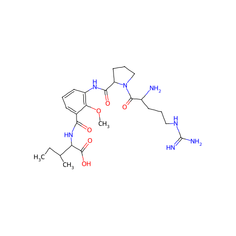 CCC(C)C(NC(=O)c1cccc(NC(=O)C2CCCN2C(=O)C(N)CCCNC(=N)N)c1OC)C(=O)O